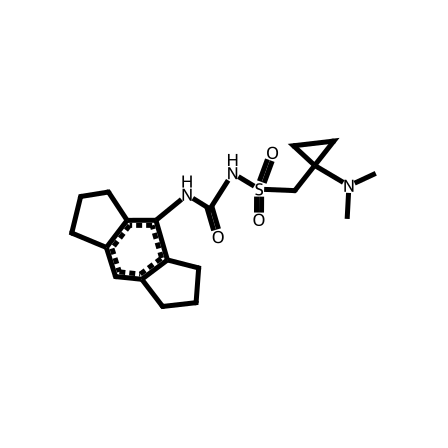 CN(C)C1(CS(=O)(=O)NC(=O)Nc2c3c(cc4c2CCC4)CCC3)CC1